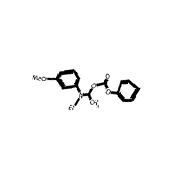 CCN(c1cccc(OC)c1)C(C)OC(=O)Oc1ccccc1